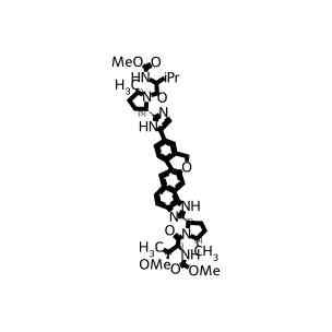 COC(=O)NC(C(=O)N1[C@@H](C)CC[C@H]1c1ncc(-c2ccc3c(c2)COc2cc4c(ccc5nc([C@@H]6CC[C@H](C)N6C(=O)[C@@H](NC(=O)OC)[C@H](C)OC)[nH]c54)cc2-3)[nH]1)C(C)C